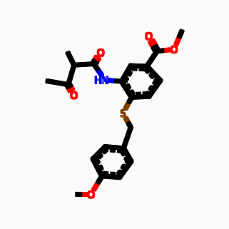 COC(=O)c1ccc(SCc2ccc(OC)cc2)c(NC(=O)C(C)C(C)=O)c1